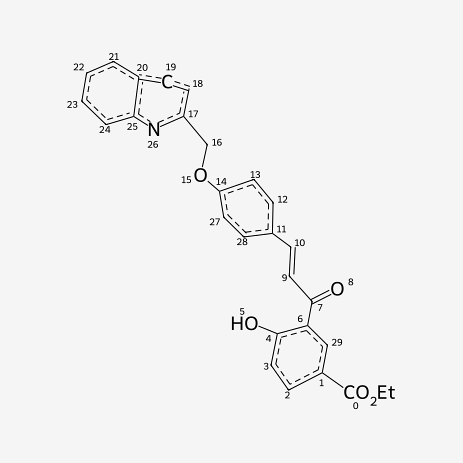 CCOC(=O)c1ccc(O)c(C(=O)C=Cc2ccc(OCc3ccc4ccccc4n3)cc2)c1